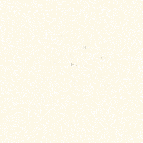 CSC[C@H](NC(=O)C(NC(O)CO)c1ccc(O)cc1)C(O)O